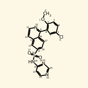 COc1ccc(Cl)cc1-c1nccc2cc(S(=O)(=O)Nc3ccncn3)ccc12